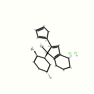 CC(C)[C@@H]1CC[C@@H](C)C[C@@H]1[C]1([Ti+2])C(C2=CC=CC2)=CC2=C1CCCC2.[Cl-].[Cl-]